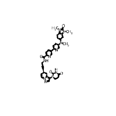 CN(c1ccc(-c2ccc(C(=O)NCC#Cc3ccn4ncc(N5CCC(=O)NC5=O)c4c3)nc2)nc1)c1ccc2c(c1)n(C)c(=O)n2C